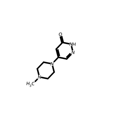 CN1CCN(c2cn[nH]c(=O)c2)CC1